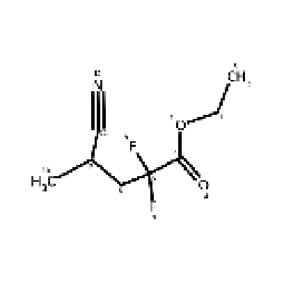 CCOC(=O)C(F)(F)CC(C)C#N